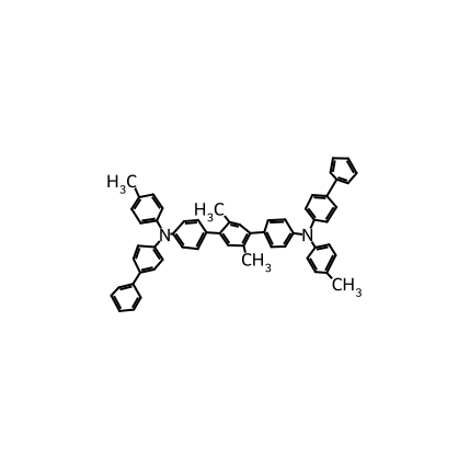 Cc1ccc(N(c2ccc(-c3ccccc3)cc2)c2ccc(-c3cc(C)c(-c4ccc(N(c5ccc(C)cc5)c5ccc(-c6ccccc6)cc5)cc4)cc3C)cc2)cc1